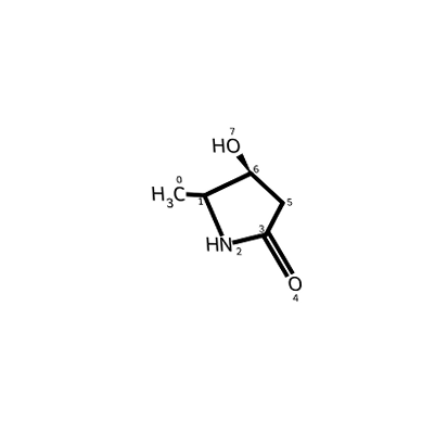 CC1NC(=O)C[C@@H]1O